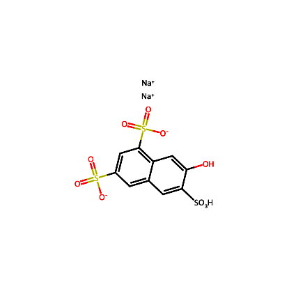 O=S(=O)([O-])c1cc(S(=O)(=O)[O-])c2cc(O)c(S(=O)(=O)O)cc2c1.[Na+].[Na+]